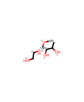 CC(O)CO.CCCOCCC.OCCO